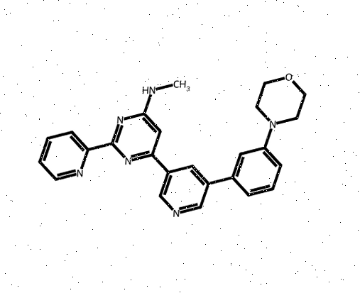 CNc1cc(-c2cncc(-c3cccc(N4CCOCC4)c3)c2)nc(-c2ccccn2)n1